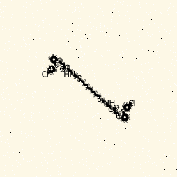 O=C(CCOc1ccccc1Sc1ccc(Cl)cc1)OCCNCCSCCCCCCCCCCSCCNCCOC(=O)CCOc1ccccc1Sc1ccc(Cl)cc1